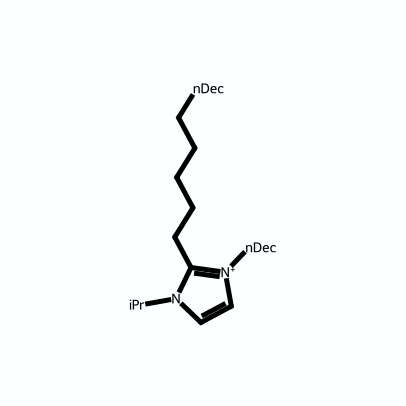 CCCCCCCCCCCCCCCc1n(C(C)C)cc[n+]1CCCCCCCCCC